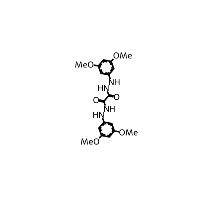 COc1cc(NNC(=O)C(=O)NNc2cc(OC)cc(OC)c2)cc(OC)c1